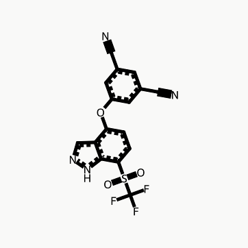 N#Cc1cc(C#N)cc(Oc2ccc(S(=O)(=O)C(F)(F)F)c3[nH]ncc23)c1